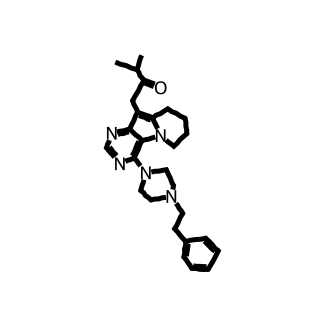 CC(C)C(=O)Cc1c2n(c3c(N4CCN(CCc5ccccc5)CC4)ncnc13)CCCC2